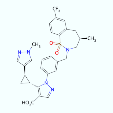 C[C@@H]1Cc2cc(C(F)(F)F)ccc2S(=O)(=O)N(Cc2cccc(-n3ncc(C(=O)O)c3[C@@H]3C[C@H]3c3cnn(C)c3)c2)C1